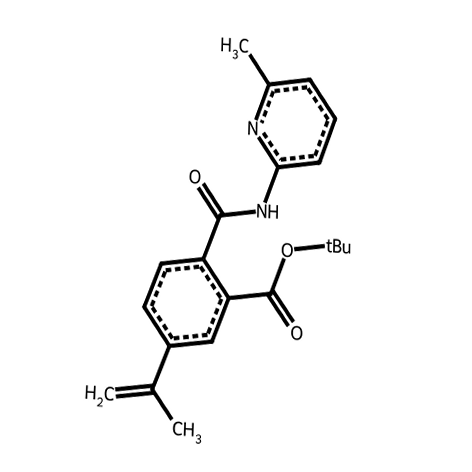 C=C(C)c1ccc(C(=O)Nc2cccc(C)n2)c(C(=O)OC(C)(C)C)c1